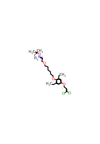 CCc1cc(OCC=C(Cl)Cl)cc(CC)c1OCCCCCCOC/C=N/OC(C)(C)C